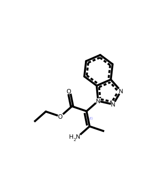 CCOC(=O)/C(=C(/C)N)n1nnc2ccccc21